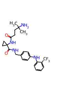 CC(C)(N)CCC(=O)NC1(C(=O)NCc2ccc(Nc3ccccc3C(F)(F)F)cc2)CC1